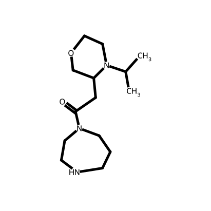 CC(C)N1CCOCC1CC(=O)N1CCCNCC1